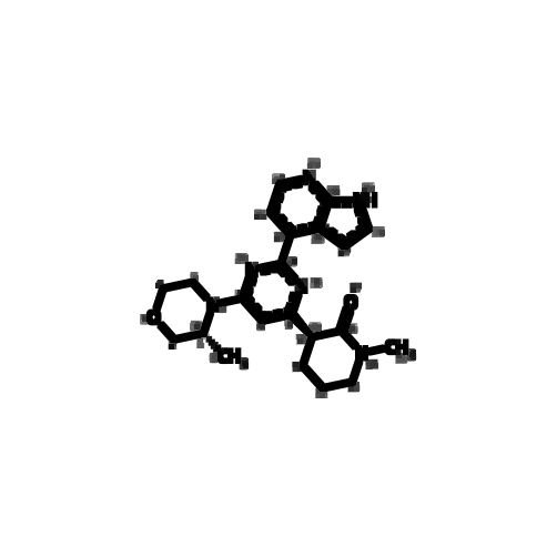 C[C@@H]1COCCN1c1cc([C@@H]2CCCN(C)C2=O)nc(-c2ccnc3[nH]ccc23)n1